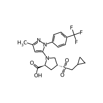 Cc1cc(N2C[C@H](S(=O)(=O)CC3CC3)C[C@H]2C(=O)O)n(-c2ccc(C(F)(F)F)cc2)n1